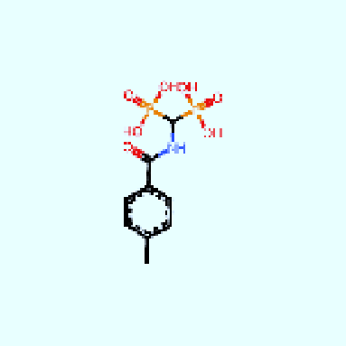 Cc1ccc(C(=O)NC(P(=O)(O)O)P(=O)(O)O)cc1